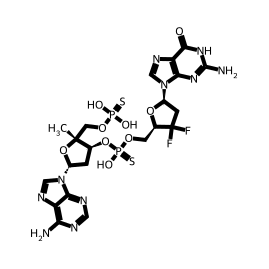 C[C@]1(COP(O)(O)=S)O[C@@H](n2cnc3c(N)ncnc32)C[C@@H]1OP(O)(=S)OC[C@H]1O[C@@H](n2cnc3c(=O)[nH]c(N)nc32)CC1(F)F